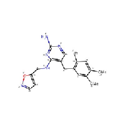 COc1cc(Cc2cnc(N)nc2NCc2ccno2)c(C(C)C)cc1OC